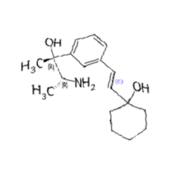 C[C@@H](N)[C@](C)(O)c1cccc(/C=C/C2(O)CCCCC2)c1